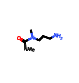 CNC(=O)N(C)CCCN